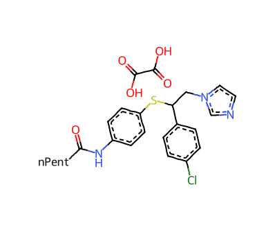 CCCCCC(=O)Nc1ccc(SC(Cn2ccnc2)c2ccc(Cl)cc2)cc1.O=C(O)C(=O)O